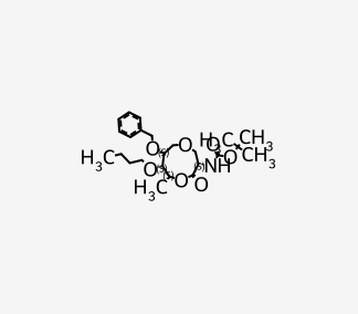 CCCCO[C@H]1[C@H](C)OC(=O)[C@@H](NC(=O)OC(C)(C)C)COC[C@@H]1OCc1ccccc1